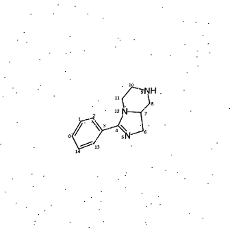 c1ccc(C2=NCC3CNCCN23)cc1